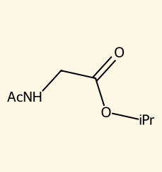 CC(=O)NCC(=O)OC(C)C